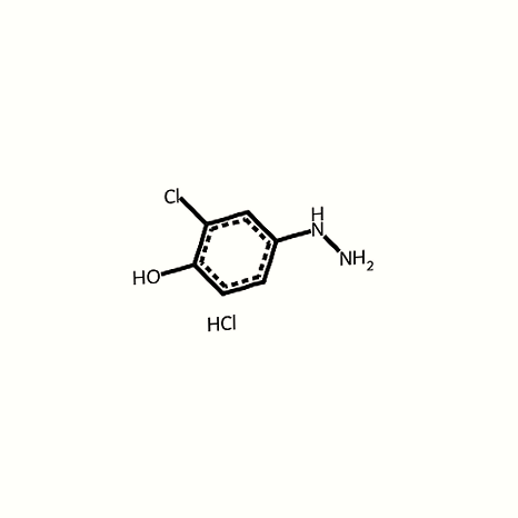 Cl.NNc1ccc(O)c(Cl)c1